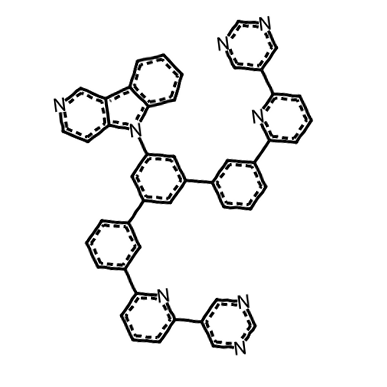 c1cc(-c2cc(-c3cccc(-c4cccc(-c5cncnc5)n4)c3)cc(-n3c4ccccc4c4cnccc43)c2)cc(-c2cccc(-c3cncnc3)n2)c1